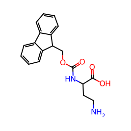 NCCC(NC(=O)OCC1c2ccccc2-c2ccccc21)C(=O)O